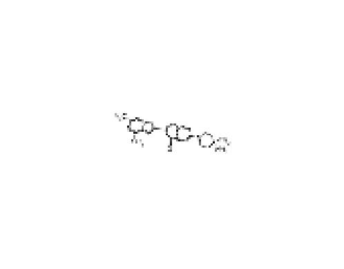 Cc1cn2cc(C3=C\C(=O)N4C=C(N5CCC(C)(N)CC5)C=C\C4=C/C=C/3)cc2c(C)n1